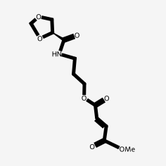 COC(=O)/C=C/C(=O)OCCCNC(=O)[C@@H]1COCO1